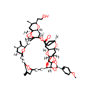 C=C1CC2CC[C@@]34OC5[C@H]6O[C@H](CC[C@@H]6O[C@H]6C(O3)[C@]3(O[C@@H](c7ccc(OC)cc7)O[C@@H]43)O[C@@H]56)CC(=O)O[C@@H]3[C@@H](C)[C@@H]4O[C@H](CCO)[C@H](C)C[C@@H]4O[C@H]3CC3O[C@@H](CCC1O2)C[C@@H](C)C3=C